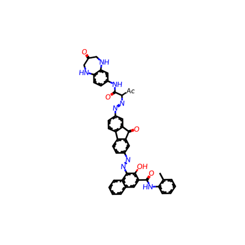 CC(=O)C(N=Nc1ccc2c(c1)C(=O)c1cc(N=Nc3c(O)c(C(=O)Nc4ccccc4C)cc4ccccc34)ccc1-2)C(=O)Nc1ccc2c(c1)NCC(=O)CN2